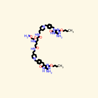 CCCCOc1nc(N)c2c(n1)C(Cc1ccc(CN3CCC(CCNC(=O)CCC(CCC(=O)NCCC4CCN(Cc5ccc(Cn6c(=O)[nH]c7c(N)nc(OCCCC)nc76)cc5)CC4)NC(=O)CON)CC3)cc1)C(=O)N2